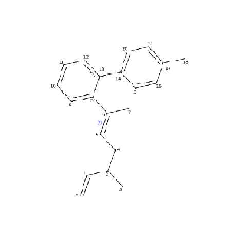 C=CC(C)C/C=C(\C)c1ccccc1-c1ccc(C)cc1